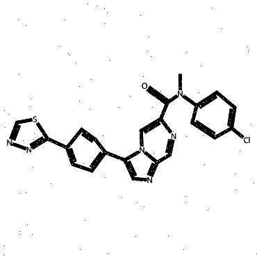 CN(C(=O)c1cn2c(-c3ccc(-c4nncs4)cc3)cnc2cn1)c1ccc(Cl)cc1